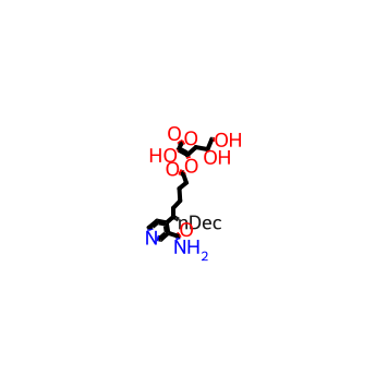 CCCCCCCCCCC(CCCCC(=O)OC1=C(O)C(=O)O[C@@H]1[C@@H](O)CO)c1ccncc1C(N)=O